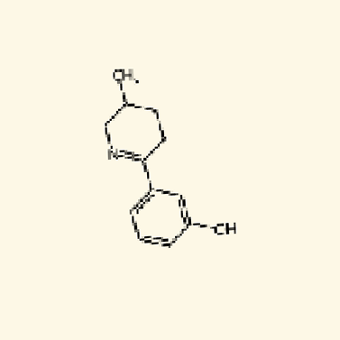 CC1CCC(c2cccc(O)c2)=NC1